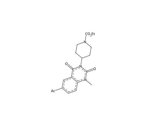 CCOC(=O)N1CCC(n2c(=O)c3cc(C(C)=O)ccc3n(C)c2=O)CC1